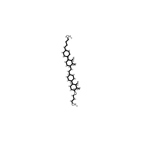 CCCCCC1CCC(C2CCC(CCC3CCC(C4CCC(OCCCC)C(F)C4F)CC3)C(F)C2F)CC1